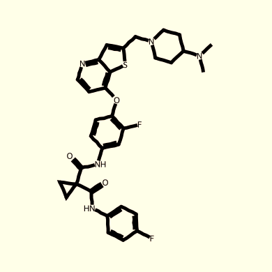 CN(C)C1CCN(Cc2cc3nccc(Oc4ccc(NC(=O)C5(C(=O)Nc6ccc(F)cc6)CC5)cc4F)c3s2)CC1